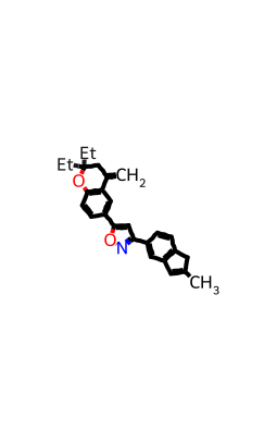 C=C1CC(CC)(CC)Oc2ccc(-c3cc(-c4ccc5c(c4)C=C(C)C5)no3)cc21